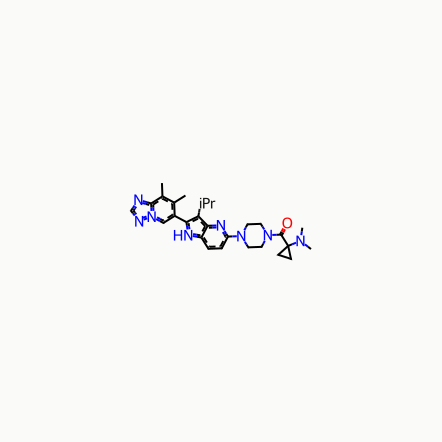 Cc1c(-c2[nH]c3ccc(N4CCN(C(=O)C5(N(C)C)CC5)CC4)nc3c2C(C)C)cn2ncnc2c1C